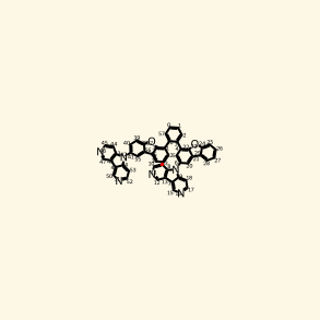 c1ccc(-c2cc(-n3c4ccncc4c4cnccc43)cc3c2oc2ccccc23)c(-c2cccc3c2oc2ccc(-n4c5ccncc5c5cnccc54)cc23)c1